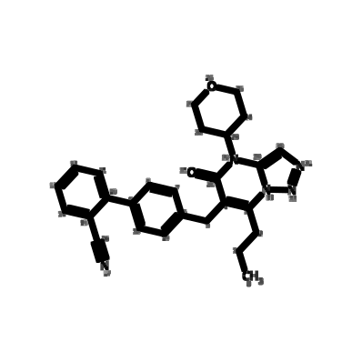 CCCc1c(Cc2ccc(-c3ccccc3C#N)cc2)c(=O)n(C2CCOCC2)c2cnnn12